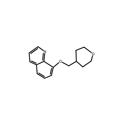 c1cnc2c(OCC3CCOCC3)cccc2c1